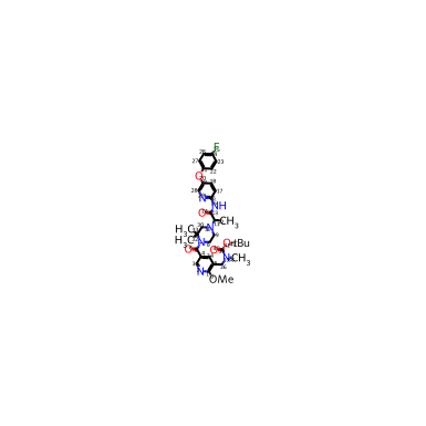 COc1ncc(C(=O)N2CCN(C(C)C(=O)Nc3ccc(Oc4ccc(F)cc4)cn3)CC2(C)C)cc1CN(C)C(=O)OC(C)(C)C